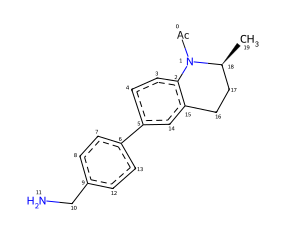 CC(=O)N1c2ccc(-c3ccc(CN)cc3)cc2CC[C@@H]1C